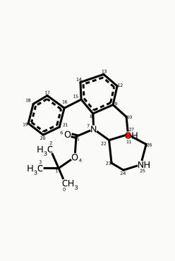 CC(C)(C)OC(=O)N(c1c(CO)cccc1-c1ccccc1)C1CCNCC1